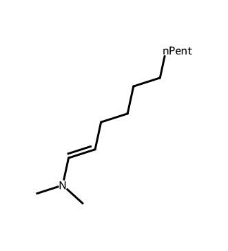 CCCCCCCCCC=CN(C)C